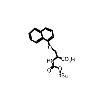 CC(C)(C)OC(=O)NC(COc1cccc2ccccc12)C(=O)O